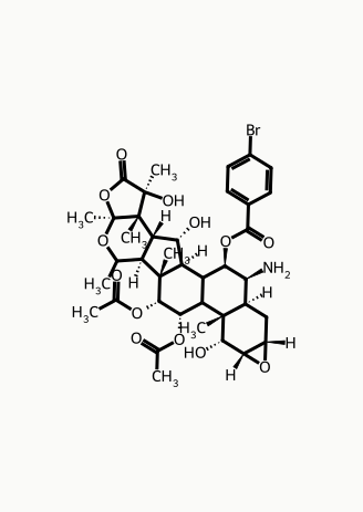 CC(=O)O[C@H]1C2C([C@@H](OC(=O)c3ccc(Br)cc3)[C@@H](N)[C@H]3C[C@@H]4O[C@@H]4[C@H](O)[C@]23C)[C@@H]2[C@@H](O)[C@@H]3[C@H](C(C)O[C@@]4(C)OC(=O)[C@@](C)(O)[C@]34C)[C@@]2(C)[C@H]1OC(C)=O